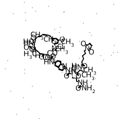 COc1cc2cc(c1Cl)N(C)C(=O)C[C@H](OC(=O)Nc1ccc3nc(NC(=O)[C@H](CCCNC(N)=O)NC(=O)[C@@H](NC(=O)CCCCCN4C(=O)C=CC4=O)C(C)C)ccc3c1)[C@]1(C)O[C@H]1[C@H](C)[C@@H]1C[C@@](O)(NC(=O)O1)[C@H](OC)/C=C/C=C(\C)C2